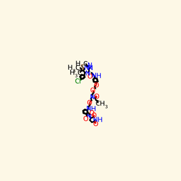 CCCC(=O)N(CCOCCNc1cccc2c1C(=O)N(C1CCC(=O)NC1=O)C2=O)CCOCCOc1ccc(NC(=O)C[C@@H]2N=C(c3ccc(Cl)cc3)C3C(C)=C(C)SC3n3c(C)nnc32)cc1